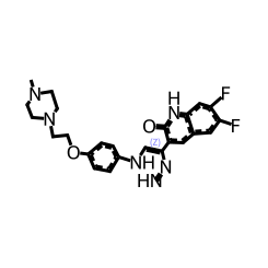 CN1CCN(CCOc2ccc(N/C=C(\N=N)c3cc4cc(F)c(F)cc4[nH]c3=O)cc2)CC1